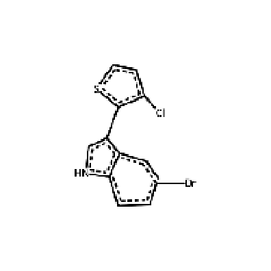 Clc1ccsc1-c1c[nH]c2ccc(Br)cc12